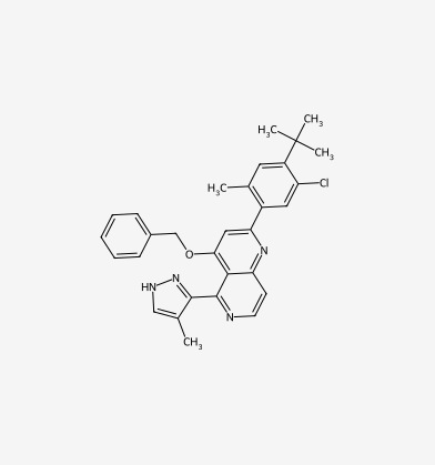 Cc1cc(C(C)(C)C)c(Cl)cc1-c1cc(OCc2ccccc2)c2c(-c3n[nH]cc3C)nccc2n1